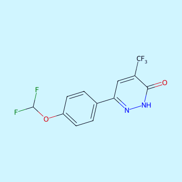 O=c1[nH]nc(-c2ccc(OC(F)F)cc2)cc1C(F)(F)F